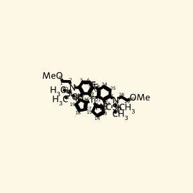 COCCN(c1ccc(F)[c]([Ti]([C]2=CC=CC2)([C]2=CC=CC2)[c]2c(F)ccc(N(CCOC)[Si](C)(C)C)c2F)c1F)[Si](C)(C)C